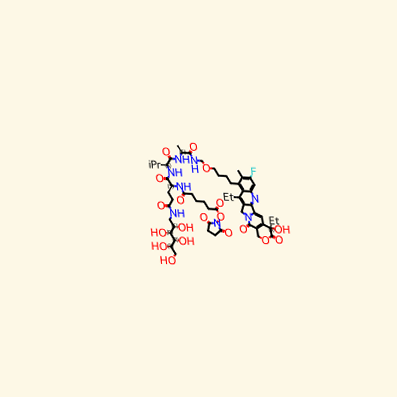 CCc1c2c(nc3cc(F)c(C)c(CCCCOCNC(=O)[C@H](C)NC(=O)[C@@H](NC(=O)[C@H](CCC(=O)NC[C@H](O)[C@@H](O)[C@H](O)[C@H](O)CO)NC(=O)CCCCC(=O)ON4C(=O)CCC4=O)C(C)C)c13)-c1cc3c(c(=O)n1C2)COC(=O)[C@]3(O)CC